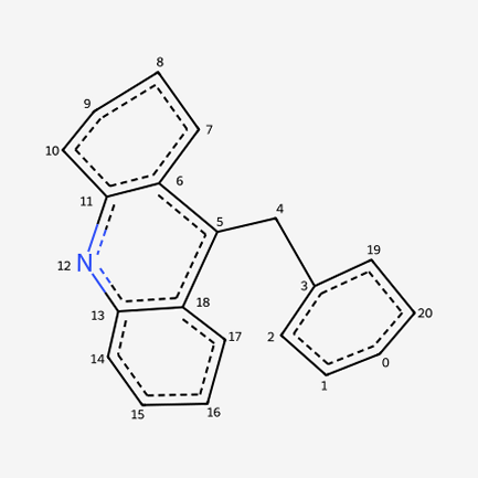 c1ccc(Cc2c3ccccc3nc3ccccc23)cc1